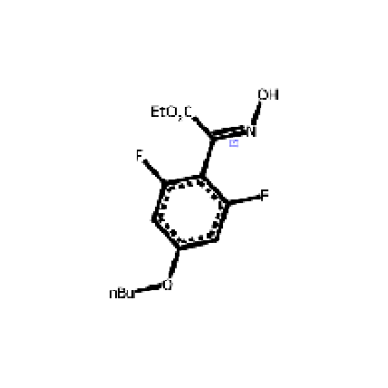 CCCCOc1cc(F)c(/C(=N/O)C(=O)OCC)c(F)c1